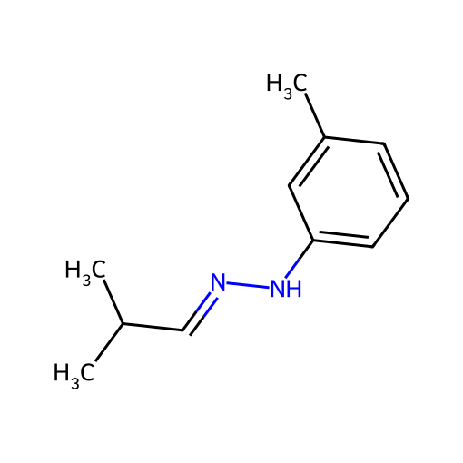 Cc1cccc(NN=CC(C)C)c1